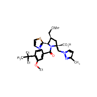 CCOc1cc(C(=O)N2[C@@H](c3nccs3)[C@@H](COC)C[C@@]2(Cn2ccc(C)n2)C(=O)O)ccc1C(C)(CC)CC